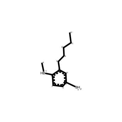 Bc1ccc(BC)c(CCCCC)c1